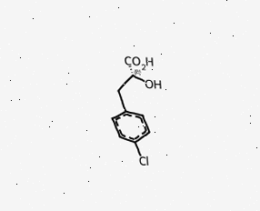 O=C(O)[C@H](O)Cc1ccc(Cl)cc1